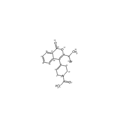 CC(=O)N1CC=C(c2c(C(C)Br)oc(=O)c3ccccc23)CC1